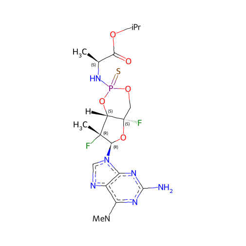 CNc1nc(N)nc2c1ncn2[C@@H]1O[C@]2(F)COP(=S)(N[C@@H](C)C(=O)OC(C)C)O[C@H]2[C@@]1(C)F